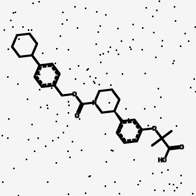 CC(C)(Oc1cccc([C@@H]2CCCN(C(=O)OCc3ccc(C4CCCCC4)cc3)C2)c1)C(=O)O